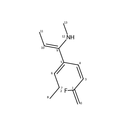 C=C(F)\C=C/C(=C\CC)C(=C/C)/NC